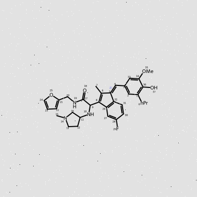 CCCc1cc(/C=C2/C(C)=C(C(NC3CCN(C)C3)C(=O)NCc3ccco3)c3cc(F)ccc32)cc(OC)c1O